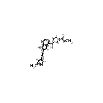 C=CC(=O)N1CCC(Nc2ncnc3[nH]c(C#Cc4cnn(C)c4)cc23)C1